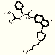 CCCCN1C=CC(c2c[nH]c3ccc(NC(=O)N(OC(C)CC)c4ccccc4)cc23)CC1